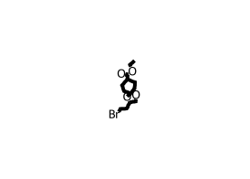 CCOC(=O)C1CCC2(CC1)OCC(CCBr)O2